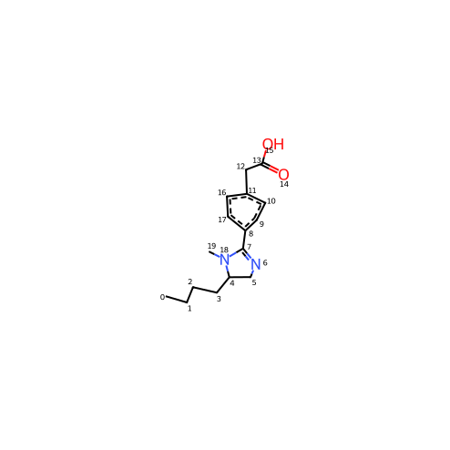 CCCCC1CN=C(c2ccc(CC(=O)O)cc2)N1C